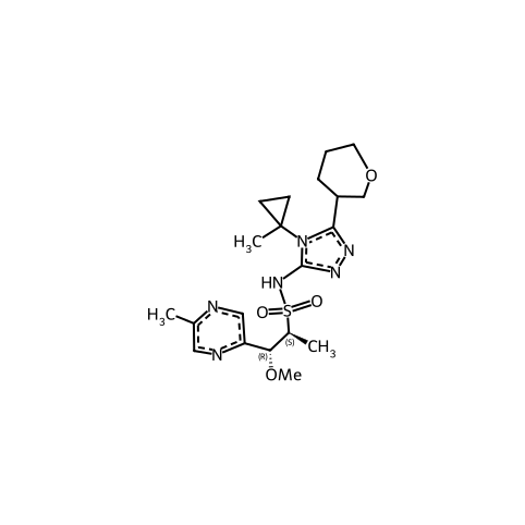 CO[C@H](c1cnc(C)cn1)[C@H](C)S(=O)(=O)Nc1nnc(C2CCCOC2)n1C1(C)CC1